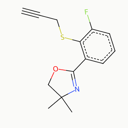 C#CCSc1c(F)cccc1C1=NC(C)(C)CO1